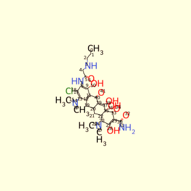 CCCNCC(=O)Nc1c(O)c2c(c(N(C)C)c1Cl)CC1CC3[C@H](N(C)C)C(O)=C(C(N)=O)C(=O)C3(O)C(O)=C1C2=O